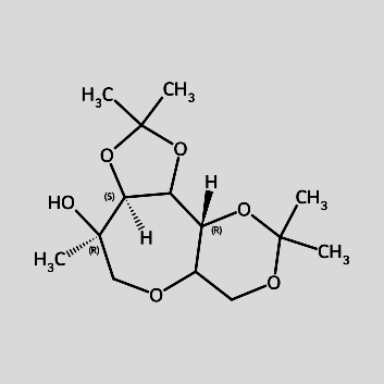 CC1(C)OCC2OC[C@@](C)(O)[C@H]3OC(C)(C)OC3[C@@H]2O1